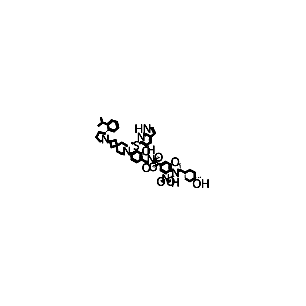 CSc1nc2[nH]ccc2cc1Oc1cc(N2CCC3(CC2)CC(N2CCC[C@@H]2c2ccccc2C(C)C)C3)ccc1C(=O)NS(=O)(=O)c1cc2c(c([N+](=O)[O-])c1)N[C@@H]([C@H]1CC[C@](C)(O)CC1)CO2